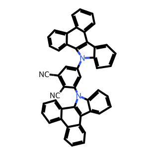 N#Cc1cc(-n2c3ccccc3c3c4ccccc4c4ccccc4c32)cc(-n2c3ccccc3c3c4ccccc4c4ccccc4c32)c1C#N